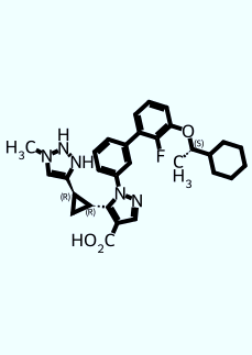 C[C@H](Oc1cccc(-c2cccc(-n3ncc(C(=O)O)c3[C@@H]3C[C@H]3C3=CN(C)NN3)c2)c1F)C1CCCCC1